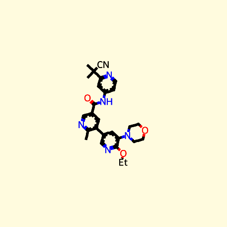 CCOc1ncc(-c2cc(C(=O)Nc3ccnc(C(C)(C)C#N)c3)cnc2C)cc1N1CCOCC1